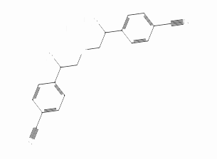 Cl.N#Cc1ccc(C(N)COCC(N)c2ccc(C#N)cc2)cc1